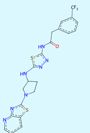 O=C(Cc1cccc(C(F)(F)F)c1)Nc1nnc(NC2CCN(c3nc4ncccc4s3)C2)s1